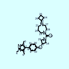 Cc1nn(C)c(C)c1-c1ccc(OC2CN(C(=O)N3CCCN(C4CCC4)CC3)C2)cc1